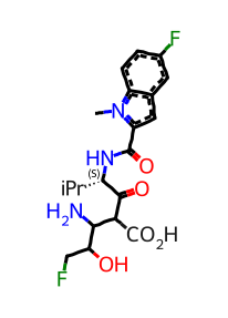 CC(C)[C@H](NC(=O)c1cc2cc(F)ccc2n1C)C(=O)C(C(=O)O)C(N)C(O)CF